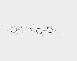 CCCCOc1ccc(-c2ccc(OC(=O)C3CC=C(c4ccc(C)c(F)c4F)CC3)cc2F)c(F)c1F